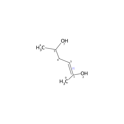 C/C(O)=C\CC(C)O